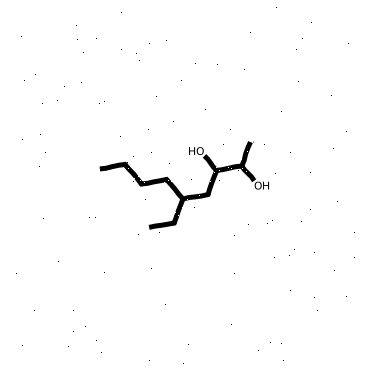 [CH2]C(O)C(O)CC(CC)CCCC